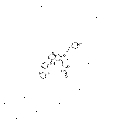 CN1CCN(CCCOc2cc3ncnc(Nc4cccc(-c5ncccc5F)c4)c3cc2C=CC(=O)NC=O)CC1